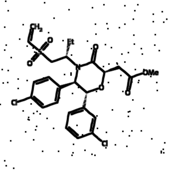 C=CS(=O)(=O)C[C@H](CC)N1C(=O)[C@@H](CC(=O)OC)O[C@H](c2cccc(Cl)c2)[C@H]1c1ccc(Cl)cc1